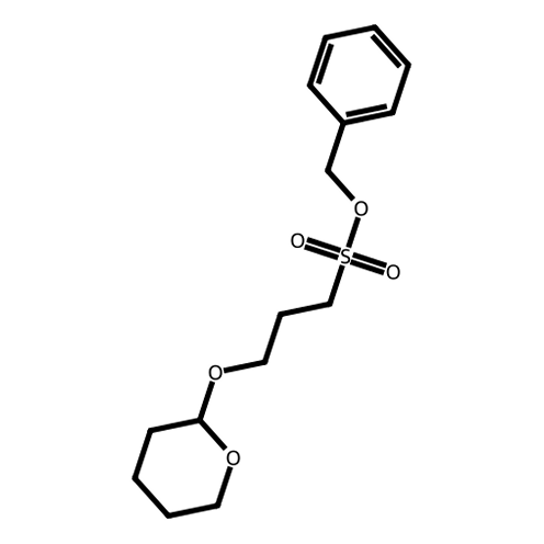 O=S(=O)(CCCOC1CCCCO1)OCc1ccccc1